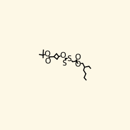 CCCCC(CC)COC(=O)CSC(=S)OC1CC(C(=O)OC(C)(C)C)C1